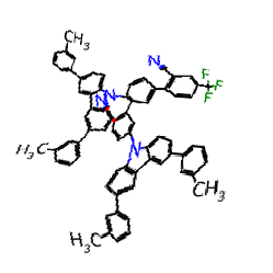 Cc1cccc(-c2ccc3c(c2)c2cc(-c4cccc(C)c4)ccc2n3-c2ccc(C#N)c(-c3cc(-c4ccc(C(F)(F)F)cc4C#N)ccc3-n3c4ccc(-c5cccc(C)c5)cc4c4cc(-c5cccc(C)c5)ccc43)c2)c1